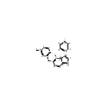 Cc1cccc(Cc2ccc3ncc(-c4ccncc4)n3n2)c1